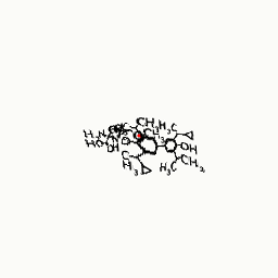 COCP(=O)(N[C@@](C)(N)C(=O)O)Oc1c(C(C)C)cc(-c2cc(C(C)C)c(O)c([C@H](C)C3CC3)c2)cc1[C@H](C)C1CC1